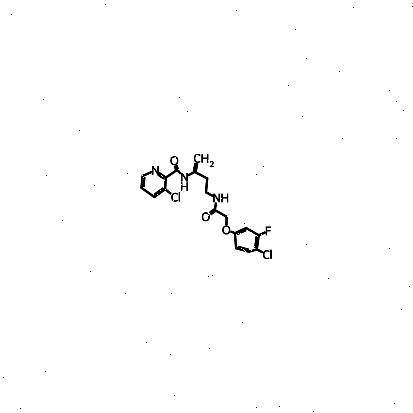 C=C(CCNC(=O)COc1ccc(Cl)c(F)c1)NC(=O)c1ncccc1Cl